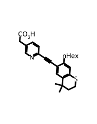 CCCCCCc1cc2c(cc1C#Cc1ccc(CC(=O)O)cn1)C(C)(C)CCS2